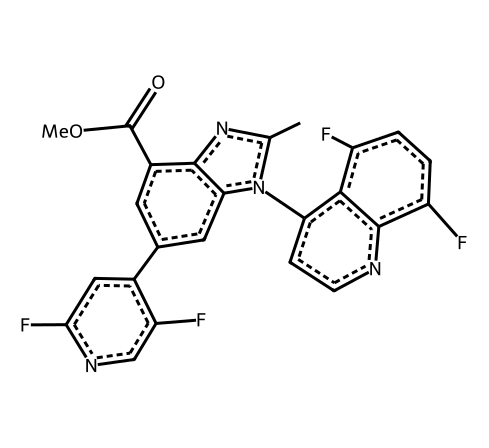 COC(=O)c1cc(-c2cc(F)ncc2F)cc2c1nc(C)n2-c1ccnc2c(F)ccc(F)c12